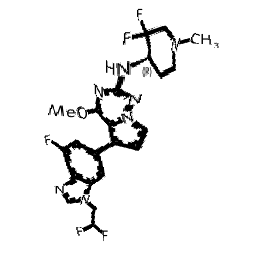 COc1nc(N[C@@H]2CCN(C)CC2(F)F)nn2ccc(-c3cc(F)c4ncn(CC(F)F)c4c3)c12